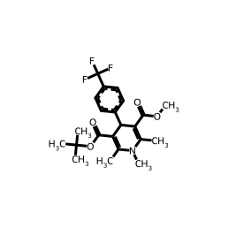 COC(=O)C1=C(C)N(C)C(C)=C(C(=O)OC(C)(C)C)C1c1ccc(C(F)(F)F)cc1